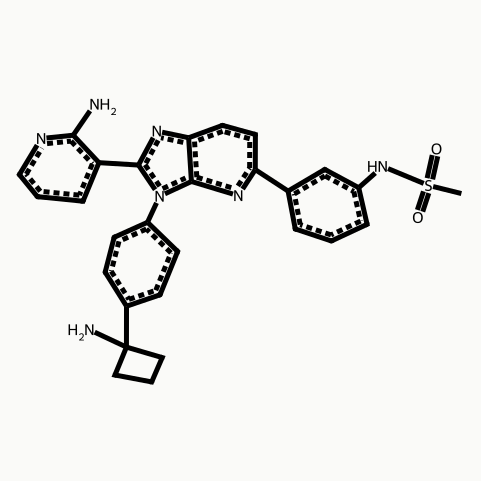 CS(=O)(=O)Nc1cccc(-c2ccc3nc(-c4cccnc4N)n(-c4ccc(C5(N)CCC5)cc4)c3n2)c1